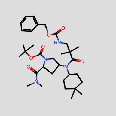 CN(C)C(=O)[C@@H]1C[C@H](N(C(=O)C(C)(C)CNC(=O)OCc2ccccc2)C2CCC(C)(C)CC2)CN1C(=O)OC(C)(C)C